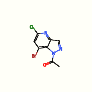 CC(=O)n1ncc2nc(Cl)cc(Br)c21